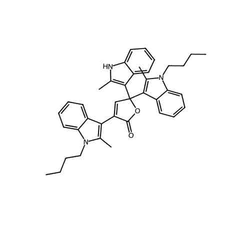 CCCCn1c(C)c(C2=CC(c3c(C)[nH]c4ccccc34)(c3c(C)n(CCCC)c4ccccc34)OC2=O)c2ccccc21